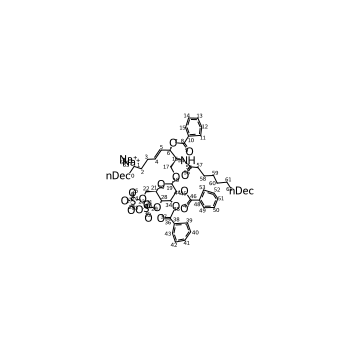 CCCCCCCCCCCCC/C=C/[C@@H](OC(=O)c1ccccc1)[C@H](CO[C@@H]1O[C@H](COS(=O)(=O)[O-])[C@H](OS(=O)(=O)[O-])[C@H](OC(=O)c2ccccc2)[C@H]1OC(=O)c1ccccc1)NC(=O)CCCCCCCCCCCCCCC.[Na+].[Na+]